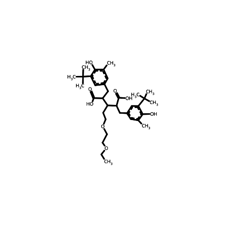 CCOCCOCCC(C(Cc1cc(C)c(O)c(C(C)(C)C)c1)C(=O)O)C(Cc1cc(C)c(O)c(C(C)(C)C)c1)C(=O)O